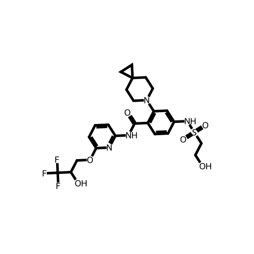 O=C(Nc1cccc(OCC(O)C(F)(F)F)n1)c1ccc(NS(=O)(=O)CCO)cc1N1CCC2(CC1)CC2